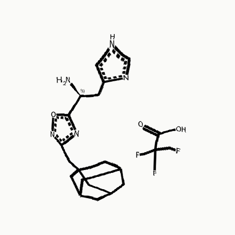 N[C@@H](Cc1c[nH]cn1)c1nc(CC23CC4CC(CC(C4)C2)C3)no1.O=C(O)C(F)(F)F